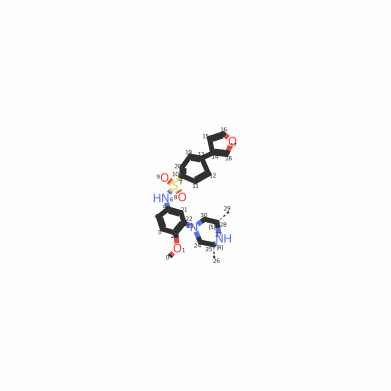 COc1ccc(NS(=O)(=O)c2ccc(-c3ccoc3)cc2)cc1N1C[C@@H](C)N[C@@H](C)C1